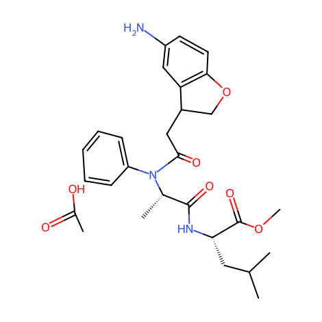 CC(=O)O.COC(=O)[C@H](CC(C)C)NC(=O)[C@H](C)N(C(=O)CC1COc2ccc(N)cc21)c1ccccc1